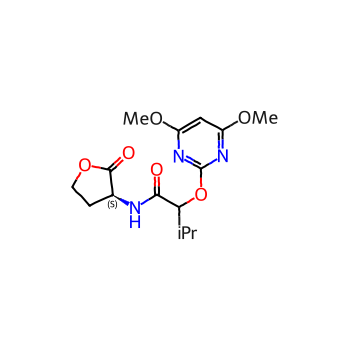 COc1cc(OC)nc(OC(C(=O)N[C@H]2CCOC2=O)C(C)C)n1